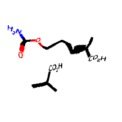 C=C(C)C(=O)O.CC(=CCCOC(N)=O)C(=O)O